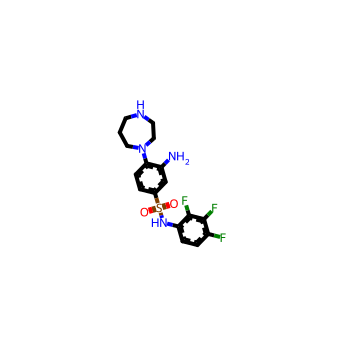 Nc1cc(S(=O)(=O)Nc2ccc(F)c(F)c2F)ccc1N1CCCNCC1